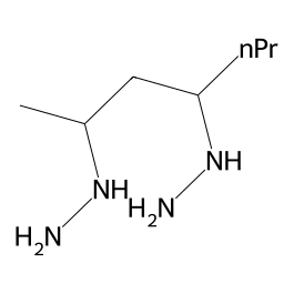 CCCC(CC(C)NN)NN